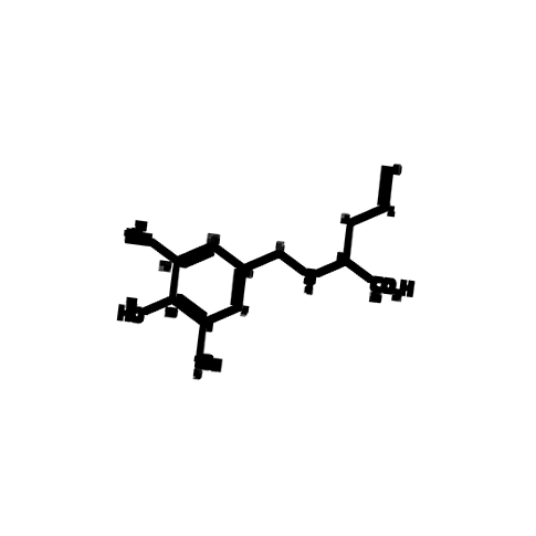 C=CCC(SCc1cc(C(C)(C)C)c(O)c(C(C)(C)C)c1)C(=O)O